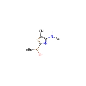 CCCC[S+]([O-])c1nc(N(C)C(C)=O)c(C#N)s1